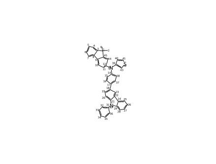 CC1(C)c2ccccc2-c2ccc(N(c3ccc(-c4ccc5c(c4)c4ccccc4n5-c4ccccc4)cc3)c3ccsc3)cc21